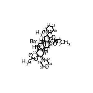 CCC(=O)OC1C([N+]2(C)CCCCC2)C[C@H]2[C@@H]3CCC4CC(OC(C)=O)C(N5CCOCC5)C[C@]4(C)[C@@H]3CC[C@]12C.[Br-]